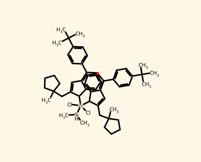 C[SiH](C)[Zr]([Cl])([Cl])([CH]1C(CC2(C)CCCC2)=Cc2c(-c3ccc(C(C)(C)C)cc3)cccc21)[CH]1C(CC2(C)CCCC2)=Cc2c(-c3ccc(C(C)(C)C)cc3)cccc21